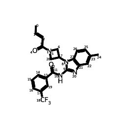 C/C=C/C(=O)N1CC(n2c(NC(=O)c3cccc(C(F)(F)F)c3)nc3cc(C)ccc32)C1